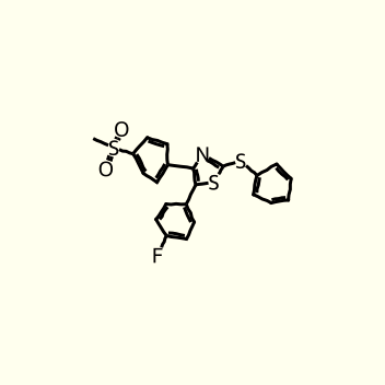 CS(=O)(=O)c1ccc(-c2nc(Sc3ccccc3)sc2-c2ccc(F)cc2)cc1